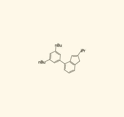 CCCCc1cc(CCCC)cc(-c2cccc3c2C=C(C(C)C)C3)c1